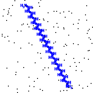 NNNNNNNNNNNNNNNNNNNNNNNNNNNNN